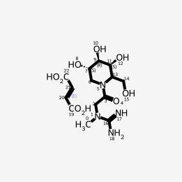 CN(CC(=O)N1C[C@H](O)[C@@H](O)[C@@H](O)C1CO)C(=N)N.O=C(O)/C=C/C(=O)O